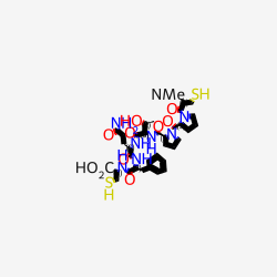 CN[C@@H](CS)C(=O)N1CCC[C@H]1C(=O)N1CCC[C@H]1C(=O)N[C@H](C(=O)N[C@@H](CCC(N)=O)C(=O)N[C@@H](Cc1ccccc1)C(=O)N[C@@H](CS)C(=O)O)[C@@H](C)O